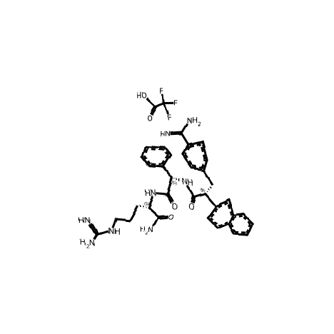 N=C(N)NCCC[C@H](NC(=O)[C@@H](NC(=O)[C@H](Cc1ccc(C(=N)N)cc1)c1ccc2ccccc2c1)c1ccccc1)C(N)=O.O=C(O)C(F)(F)F